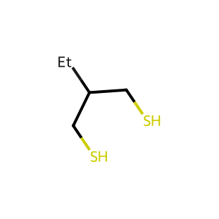 CCC(CS)CS